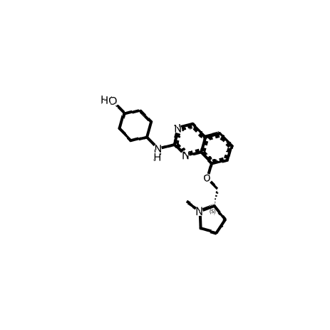 CN1CCC[C@H]1COc1cccc2cnc(NC3CCC(O)CC3)nc12